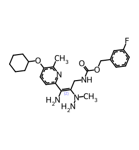 Cc1nc(/C(N)=C(\CNC(=O)OCc2cccc(F)c2)N(C)N)ccc1OC1CCCCC1